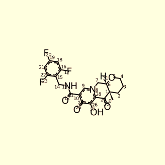 C[C@]12CCCO[C@H]1Cn1cc(C(=O)NCc3c(F)cc(F)cc3F)c(=O)c(O)c1C2=O